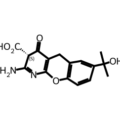 CC(C)(O)c1ccc2c(c1)CC1=C(N=C(N)[C@H](C(=O)O)C1=O)O2